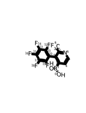 OB(O)c1ccnc(C(F)(F)F)c1-c1c(F)c(F)c(F)c(F)c1F